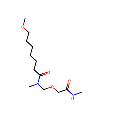 CNC(=O)COCN(C)C(=O)CCCCCCOC